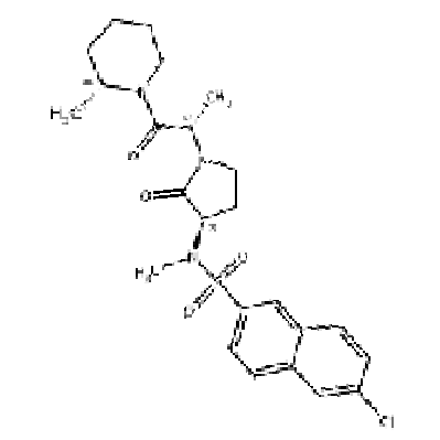 C[C@@H]1CCCCN1C(=O)[C@H](C)N1CC[C@@H](N(C)S(=O)(=O)c2ccc3cc(Cl)ccc3c2)C1=O